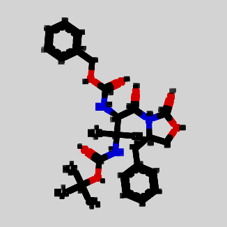 CC(C)(C)OC(=O)NC(C)(C)[C@@H](NC(=O)OCc1ccccc1)C(=O)N1C(=O)OC[C@H]1Cc1ccccc1